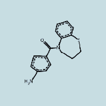 Nc1ccc(C(=O)N2CCCSc3ccccc32)cc1